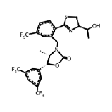 CC(O)C1CSC(c2ccc(C(F)(F)F)cc2CN2C(=O)O[C@H](c3cc(C(F)(F)F)cc(C(F)(F)F)c3)[C@@H]2C)=N1